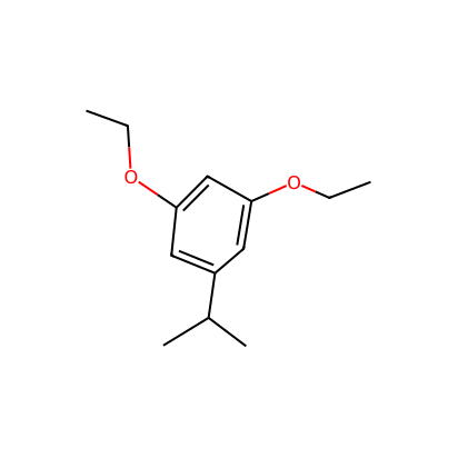 CCOc1cc(OCC)cc(C(C)C)c1